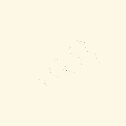 CC(C)(C)OC(=O)N1CCN2c3ccc(C(=O)O)c(CO)c3OC[C@H]2C1